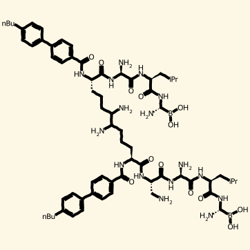 CCCCc1ccc(-c2ccc(C(=O)N[C@@H](CCCC(N)C(N)CCC[C@H](NC(=O)c3ccc(-c4ccc(CCCC)cc4)cc3)C(=O)N[C@@H](CN)C(=O)N[C@@H](N)C(=O)N[C@@H](CC(C)C)C(=O)N[C@@H](N)B(O)O)C(=O)N[C@@H](N)C(=O)N[C@@H](CC(C)C)C(=O)N[C@@H](N)B(O)O)cc2)cc1